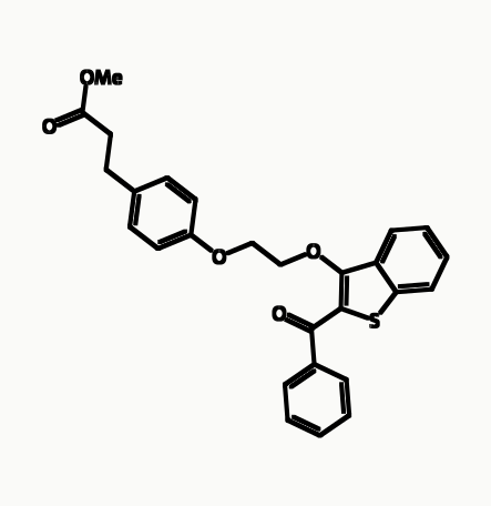 COC(=O)CCc1ccc(OCCOc2c(C(=O)c3ccccc3)sc3ccccc23)cc1